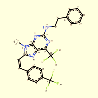 Cn1c(/C=C\c2ccc(C(F)(F)F)cc2)nc2c(C(F)(F)F)nc(NCCc3ccccc3)nc21